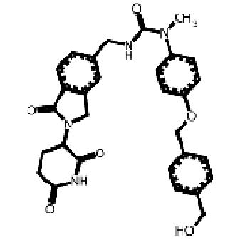 CN(C(=O)NCc1ccc2c(c1)CN(C1CCC(=O)NC1=O)C2=O)c1ccc(OCc2ccc(CO)cc2)cc1